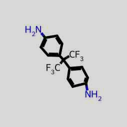 Nc1ccc(C(c2ccc(N)cc2)(C(F)(F)F)C(F)(F)F)cc1